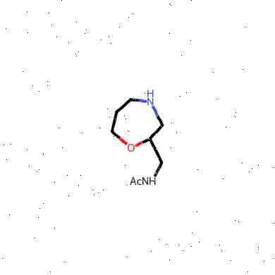 CC(=O)NCC1CNCCCO1